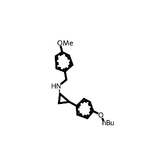 CCCCOc1ccc(C2C[C@@H]2NCc2ccc(OC)cc2)cc1